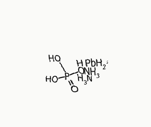 N.N.O=P(O)(O)O.[PbH2]